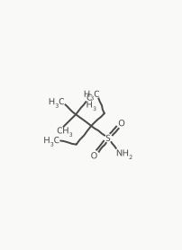 CCC(CC)(C(C)(C)C)S(N)(=O)=O